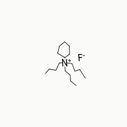 CCCC[N+](CCCC)(CCCC)C1CCCCC1.[F-]